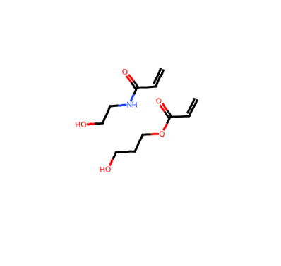 C=CC(=O)NCCO.C=CC(=O)OCCCO